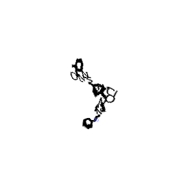 Cc1cccc2nc(SCc3ccc(C(=O)N4CCN(C/C=C/c5ccccc5)CC4)cc3)n(C)c(=O)c12.Cl